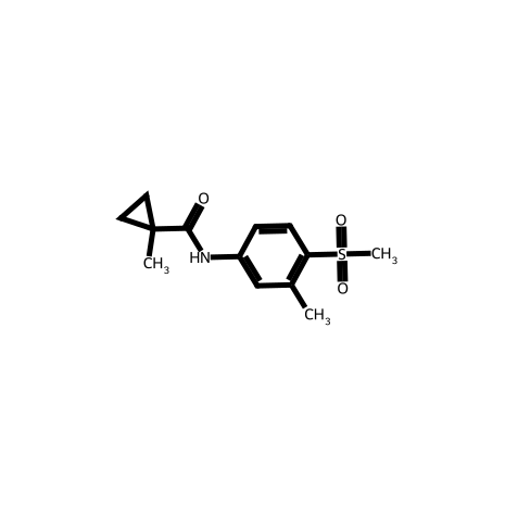 Cc1cc(NC(=O)C2(C)CC2)ccc1S(C)(=O)=O